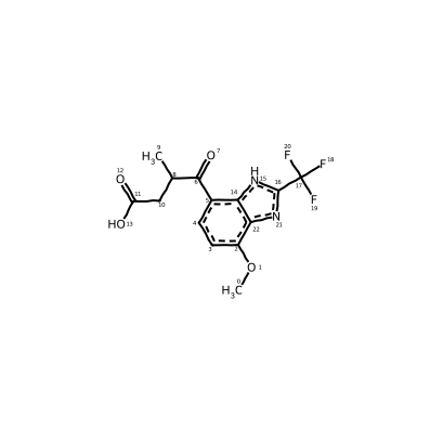 COc1ccc(C(=O)C(C)CC(=O)O)c2[nH]c(C(F)(F)F)nc12